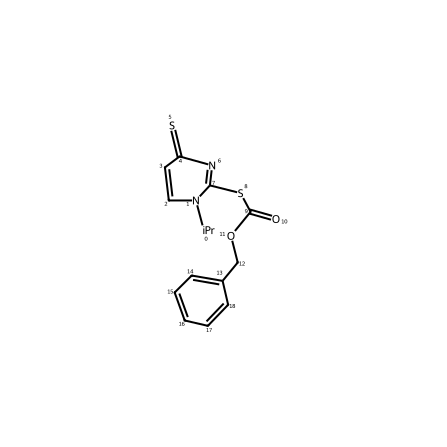 CC(C)n1ccc(=S)nc1SC(=O)OCc1ccccc1